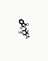 CN(C)C1CNCC(CN2C(=O)c3ccccc3C2=O)C1(F)F